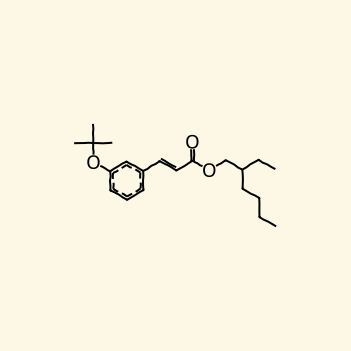 CCCCC(CC)COC(=O)C=Cc1cccc(OC(C)(C)C)c1